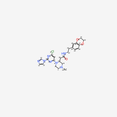 CC(=O)N1CCN(c2cc(Cl)nc(-n3ccnc3)n2)C(CC(=O)NCCc2ccc3c(c2)OCCO3)C1